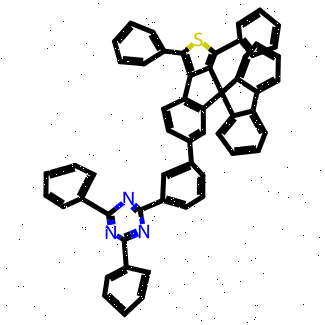 c1ccc(-c2nc(-c3ccccc3)nc(-c3cccc(-c4ccc5c(c4)C4(c6ccccc6-c6ccccc64)c4c(-c6ccccc6)sc(-c6ccccc6)c4-5)c3)n2)cc1